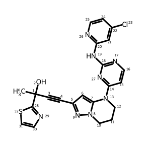 CC(O)(C#Cc1cc2n(n1)CCCN2c1ccnc(Nc2cc(Cl)ccn2)n1)c1nccs1